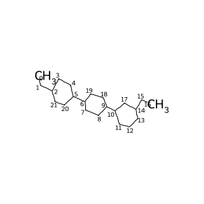 CCC1CCC(C2CCC(C3CCCC(CC)C3)CC2)CC1